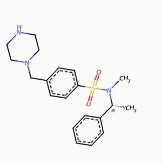 C[C@H](c1ccccc1)N(C)S(=O)(=O)c1ccc(CN2CCNCC2)cc1